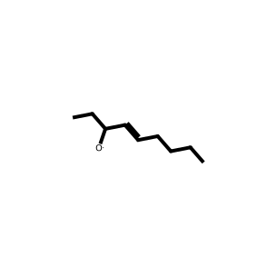 CCCC/C=C/C([O])CC